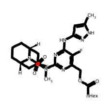 CCCCCCC(=O)OCc1nc(N(C)C2C[C@H]3CCC[C@@H](C2)N3S(=O)(=O)CC)nc(Nc2cc(C)[nH]n2)c1F